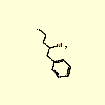 [CH2]CCC(N)Cc1ccccc1